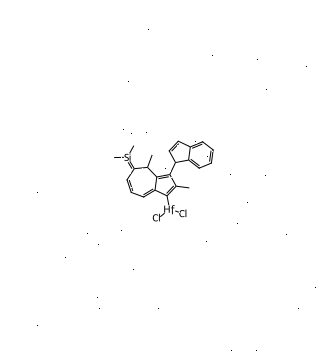 CC1=[C]([Hf]([Cl])[Cl])C2=CC=CC(=[Si](C)C)C(C)C2=C1C1C=Cc2ccccc21